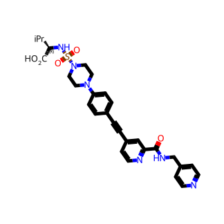 CC(C)[C@@H](NS(=O)(=O)N1CCN(c2ccc(C#Cc3ccnc(C(=O)NCc4ccncc4)c3)cc2)CC1)C(=O)O